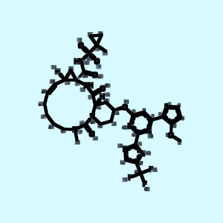 COc1ccsc1-c1cc(O[C@H]2CCN3C(=O)N(C)CCCC/C=C\[C@@H]4C[C@@]4(C(=O)NS(=O)(=O)C4(C)CC4)NC(=O)[C@@H]3C2)nc(-c2nc(C(F)(F)F)cs2)n1